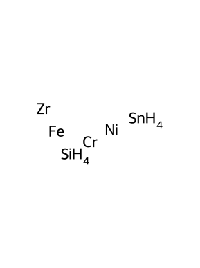 [Cr].[Fe].[Ni].[SiH4].[SnH4].[Zr]